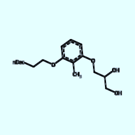 CCCCCCCCCCCCOc1cccc(OCC(O)CO)c1C